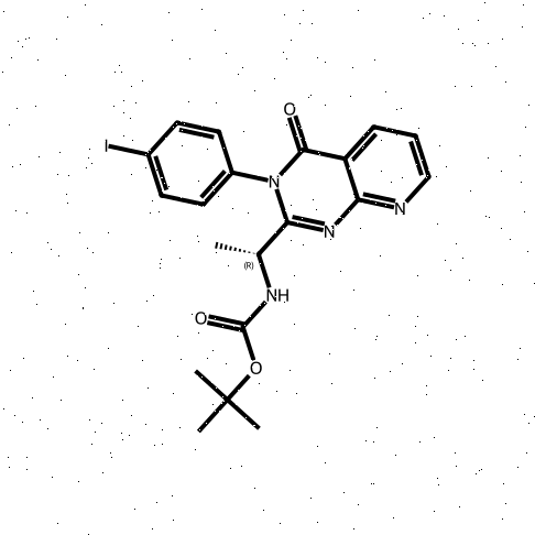 C[C@@H](NC(=O)OC(C)(C)C)c1nc2ncccc2c(=O)n1-c1ccc(I)cc1